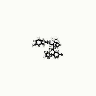 CC1C2CC(C2)N(C(=O)c2cc(F)ccc2-n2nccn2)C1CNc1nc2ccc(F)cc2s1